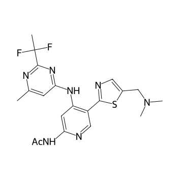 CC(=O)Nc1cc(Nc2cc(C)nc(C(C)(F)F)n2)c(-c2ncc(CN(C)C)s2)cn1